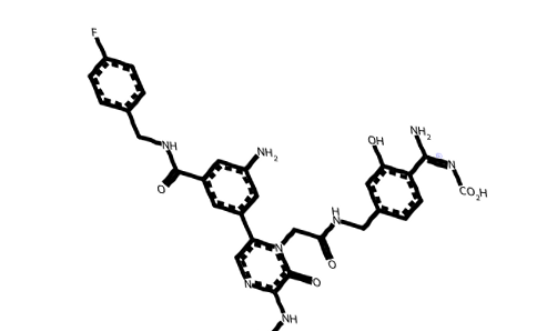 CC(C)Nc1ncc(-c2cc(N)cc(C(=O)NCc3ccc(F)cc3)c2)n(CC(=O)NCc2ccc(/C(N)=N\C(=O)O)c(O)c2)c1=O